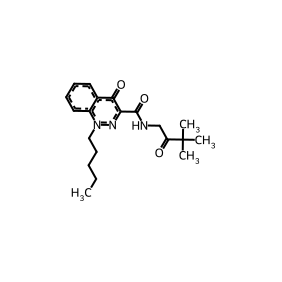 CCCCCn1nc(C(=O)NCC(=O)C(C)(C)C)c(=O)c2ccccc21